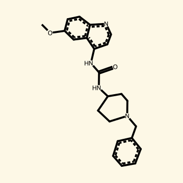 COc1ccc2nccc(NC(=O)NC3CCN(Cc4ccccc4)CC3)c2c1